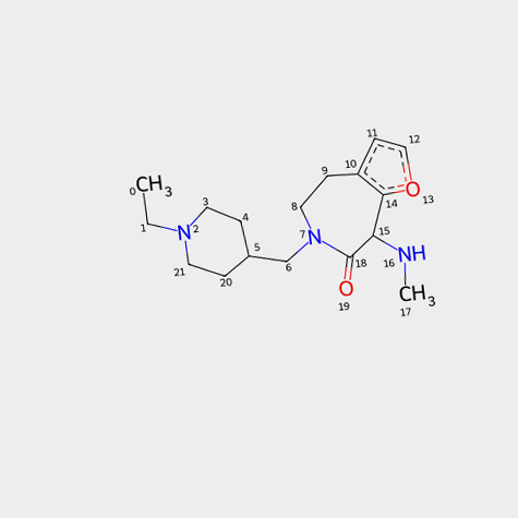 CCN1CCC(CN2CCc3ccoc3C(NC)C2=O)CC1